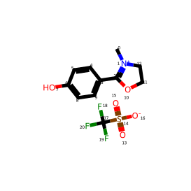 C[N+]1=C(c2ccc(O)cc2)OCC1.O=S(=O)([O-])C(F)(F)F